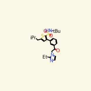 CCc1nccn1CC(=O)c1cccc(-c2cc(CC(C)C)sc2S(=O)(=O)NC(C)(C)C)c1